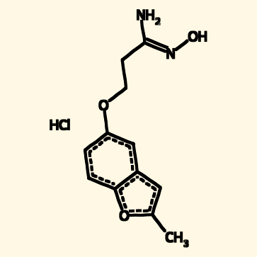 Cc1cc2cc(OCCC(N)=NO)ccc2o1.Cl